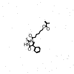 C=C(C)C(=O)OCCCCCC(=O)n1cc(-c2ccccc2)c(=O)[nH]c1=S